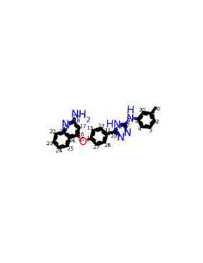 Cc1cccc(Nc2nnc(-c3ccc(Oc4cc(N)nc5ccccc45)cc3)[nH]2)c1